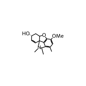 COc1cc(C)c2c3c1OC1C[C@@H](O)C=CC31CN(C)C2C